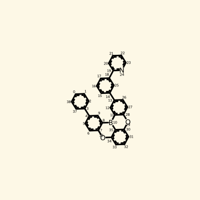 c1ccc(-c2ccc3c(c2)B2c4cc(-c5cccc(-c6ccccn6)c5)ccc4Oc4cccc(c42)O3)cc1